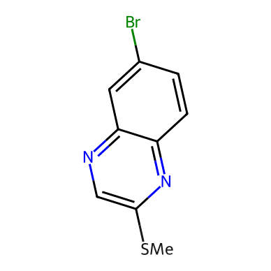 CSc1cnc2cc(Br)ccc2n1